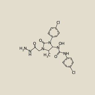 CC1C(N(O)C(=O)Nc2ccc(Cl)cc2)N(c2ccc(Cl)cc2)C(=O)N1CC(=O)NN